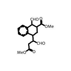 COC(=O)CC(C=O)C1CC(C(=O)OC)C(C=O)c2ccccc21